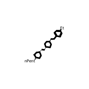 CCCCC[C@H]1CC[C@H](CC[C@H]2CC[C@H](CCc3ccc(CC)cc3)CC2)CC1